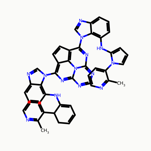 Cc1ncccc1C1CC=CC=C1Nc1cccc2ncn(-c3nc4ncnc5nc(-n6cnc7cccc(Nc8cccn8-c8cccnc8C)c76)c6ccc3c6n45)c12